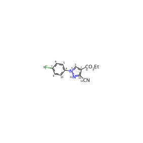 CCOC(=O)c1cn(-c2ccc(F)cc2)nc1C#N